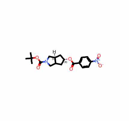 CC(C)(C)OC(=O)N1CC2C[C@@H](OC(=O)c3ccc([N+](=O)[O-])cc3)C[C@@H]2C1